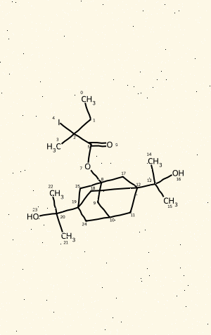 CCC(C)(I)C(=O)OC12CC3CC(C(C)(C)O)(C1)CC(C(C)(C)O)(C3)C2